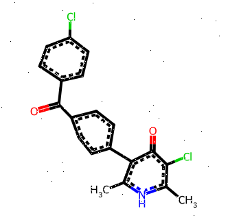 Cc1[nH]c(C)c(-c2ccc(C(=O)c3ccc(Cl)cc3)cc2)c(=O)c1Cl